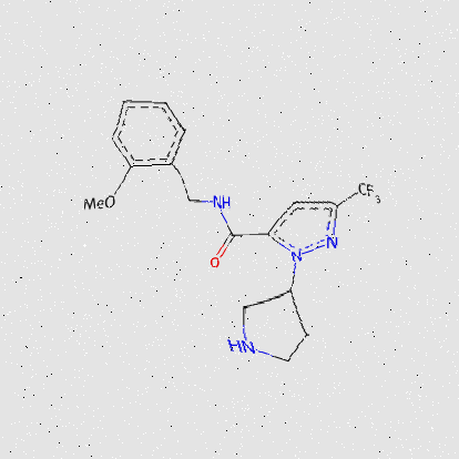 COc1ccccc1CNC(=O)c1cc(C(F)(F)F)nn1C1CCNC1